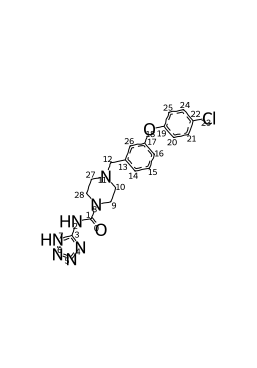 O=C(Nc1nnn[nH]1)N1CCN(Cc2cccc(Oc3ccc(Cl)cc3)c2)CC1